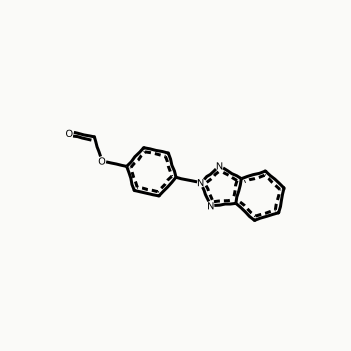 O=COc1ccc(-n2nc3ccccc3n2)cc1